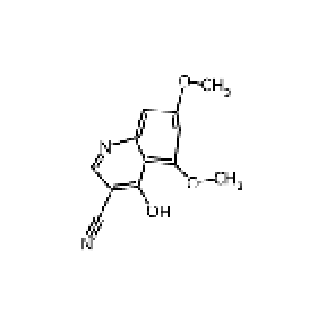 COc1cc(OC)c2c(O)c(C#N)cnc2c1